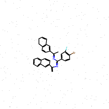 C=C(/N=C(\N=C(/C)c1ccc2c(c1)C=CCC2)c1ccc(Br)c(F)c1)c1ccc2ccccc2c1